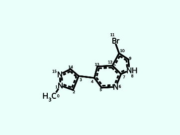 Cn1cc(-c2cnc3[nH]cc(Br)c3c2)cn1